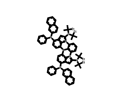 CCC(C)(C)N(c1cc2c(N(c3ccccc3)c3ccc4ccccc4c3)ccc3c2n1-c1cccc2c1B3c1ccc(N(c3ccccc3)c3ccc4ccccc4c3)c3cc(N(C(C)(C)CC)C(C)(C)CC)n-2c13)C(C)(C)CC